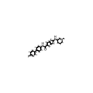 CN1CCCC(Nc2nc3sc(C(=O)Nc4ccc(-c5ccc(F)nc5)cc4)cc3s2)C1